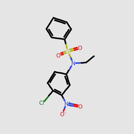 CCN(c1ccc(Cl)c([N+](=O)[O-])c1)S(=O)(=O)c1ccccc1